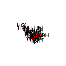 CCNC(=O)[C@H](CCC(=O)O)NC(=O)[C@H](CC(C)C)NC(=O)[C@H](Cc1ccc(O)cc1)NC(=O)[C@H](C)NC(=O)[C@H](CO)NC(=O)CN1CC(=O)CC(NC(=O)[C@H](CO)NC(=O)[C@@H](NC(=O)C(Cc2ccccc2)NC(=O)[C@@H](NC(=O)CNC(=O)C(CCC(=O)O)NC(=O)C(C)(C)NC(=O)C(N)Cc2c[nH]cn2)C(C)O)C(C)O)C1=O